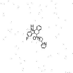 O=C(C1Cc2ccccc2-c2[nH]c3ccc(F)cc3c21)N1CCC(c2ccccn2)C1